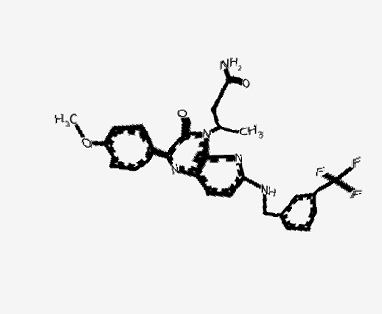 COc1ccc(-c2nc3ccc(NCc4cccc(C(F)(F)F)c4)nc3n(C(C)CC(N)=O)c2=O)cc1